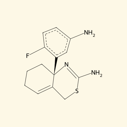 NC1=N[C@@]2(c3cc(N)ccc3F)CCCC=C2CS1